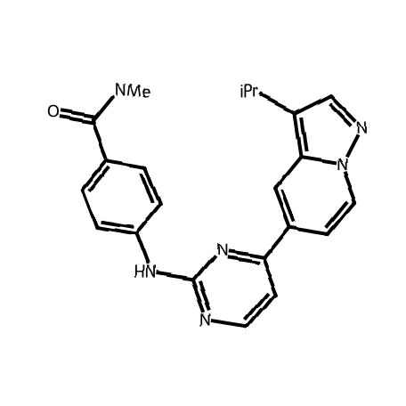 CNC(=O)c1ccc(Nc2nccc(-c3ccn4ncc(C(C)C)c4c3)n2)cc1